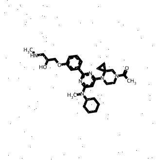 CNCC(O)COc1cccc(-c2nc(N(C)C3CCCCC3)cc(N3CCN(C(C)=O)CC34CC4)n2)c1